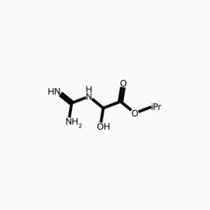 CC(C)OC(=O)C(O)NC(=N)N